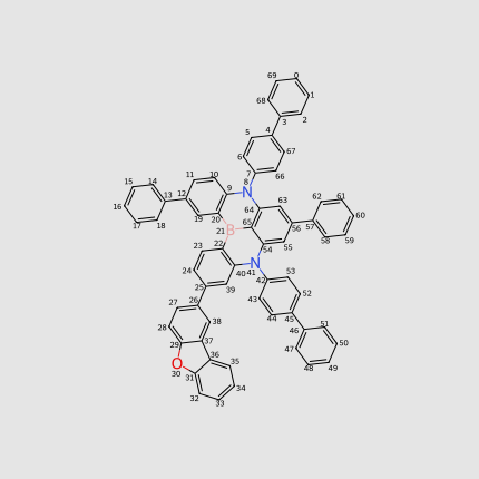 c1ccc(-c2ccc(N3c4ccc(-c5ccccc5)cc4B4c5ccc(-c6ccc7oc8ccccc8c7c6)cc5N(c5ccc(-c6ccccc6)cc5)c5cc(-c6ccccc6)cc3c54)cc2)cc1